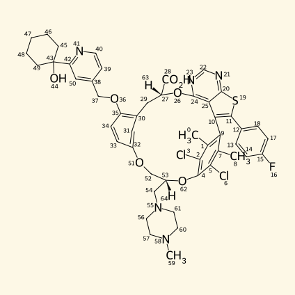 Cc1c(Cl)c2c(Cl)c(C)c1-c1c(-c3ccc(F)cc3)sc3ncnc(c13)O[C@@H](C(=O)O)Cc1cc(ccc1OCc1ccnc(C3(O)CCCCC3)c1)OC[C@@H](CN1CCN(C)CC1)O2